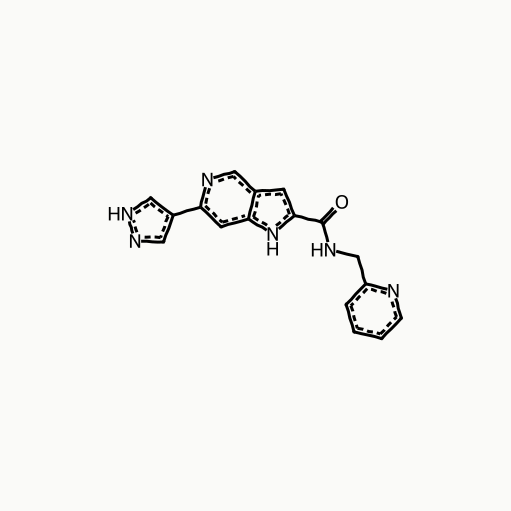 O=C(NCc1ccccn1)c1cc2cnc(-c3cn[nH]c3)cc2[nH]1